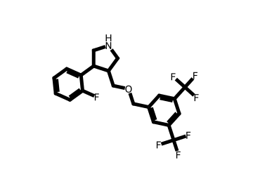 Fc1ccccc1C1CNCC1COCc1cc(C(F)(F)F)cc(C(F)(F)F)c1